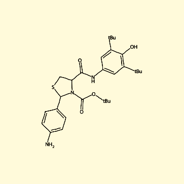 CC(C)(C)OC(=O)N1C(C(=O)Nc2cc(C(C)(C)C)c(O)c(C(C)(C)C)c2)CSC1c1ccc(N)cc1